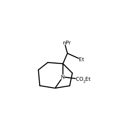 CCCC(CC)C12CCCC(CC1)N2C(=O)OCC